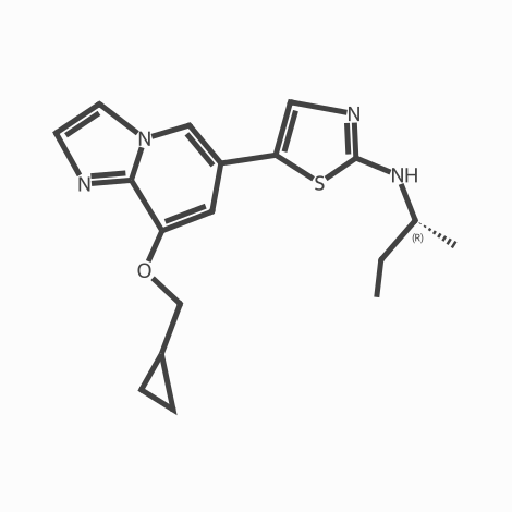 CC[C@@H](C)Nc1ncc(-c2cc(OCC3CC3)c3nccn3c2)s1